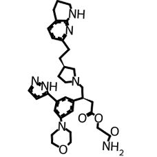 NC(=O)COC(=O)C[C@H](CN1CC[C@@H](CCc2ccc3c(n2)NCCC3)C1)c1cc(-c2ccn[nH]2)cc(N2CCOCC2)c1